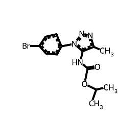 Cc1nnn(-c2ccc(Br)cc2)c1NC(=O)OC(C)C